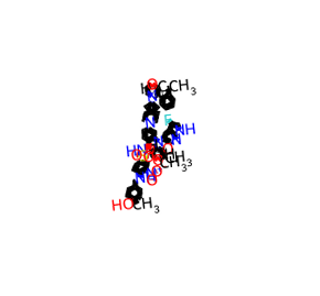 CC(C)c1ccccc1[C@@H]1COCCN1C1CC2(CCN(c3ccc(C(=O)NS(=O)(=O)c4ccc(NCC5CCC(C)(O)CC5)c([N+](=O)[O-])c4)c(N4c5cc6c(F)c[nH]c6nc5O[C@@H]5[C@@H]4CCOC5(C)C)c3)CC2)C1